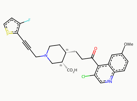 COc1ccc2ncc(Cl)c(C(=O)CC[C@H]3CCN(CC#Cc4sccc4F)C[C@H]3C(=O)O)c2c1